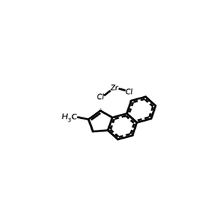 CC1=[C]c2c(ccc3ccccc23)C1.[Cl][Zr][Cl]